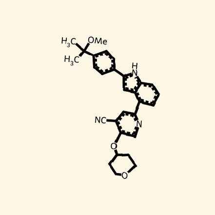 COC(C)(C)c1ccc(-c2cc3c(-c4cc(C#N)c(OC5CCOCC5)cn4)cccc3[nH]2)cc1